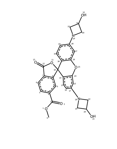 COC(=O)c1ccc2c(c1)C1(OC2=O)c2ccc(N3CC(O)C3)cc2Oc2cc(N3CC(O)C3)ccc21